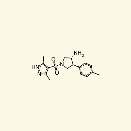 Cc1ccc([C@H]2CN(S(=O)(=O)c3c(C)n[nH]c3C)C[C@@H]2N)cc1